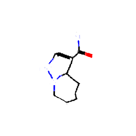 NC(=O)C1=CNN2CCCCC12